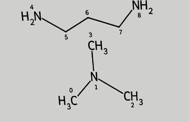 CN(C)C.NCCCN